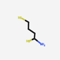 NC(S)CCCS